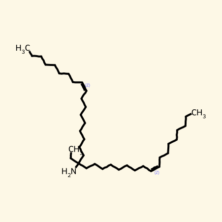 CCCCCCCC/C=C\CCCCCCCCC(N)(CC)CCCCCCCC/C=C\CCCCCCCC